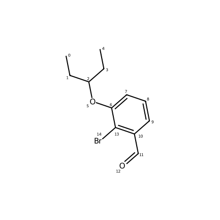 CCC(CC)Oc1cccc(C=O)c1Br